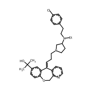 CCN(CCc1ccc(Cl)cc1)C1CCN(CCC=C2c3cc(C(C)(C)O)ccc3OCc3ncccc32)C1